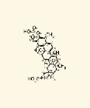 CC1=C(OP(=O)(O)O)C(=O)C=C2C1=CC=C1[C@@]2(C)CC[C@@]2(C)[C@@H]3C[C@](C)(CNC(=O)O)CC[C@]3(C)CC[C@]12C